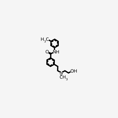 Cc1cccc(NC(=O)c2cccc(CCN(C)CCO)c2)c1